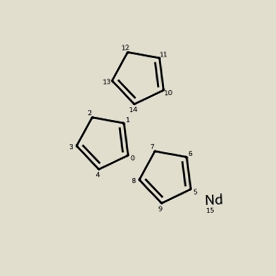 C1=CCC=C1.C1=CCC=C1.C1=CCC=C1.[Nd]